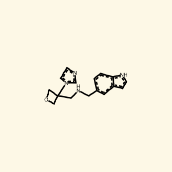 c1cn(C2(CNCc3ccc4[nH]ccc4c3)COC2)cn1